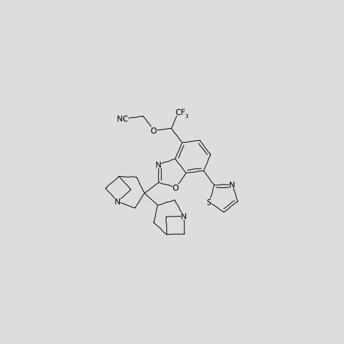 N#CCOC(c1ccc(-c2nccs2)c2oc(C3(C4CC5CN(C5)C4)CC4CN(C4)C3)nc12)C(F)(F)F